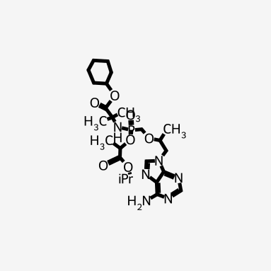 CC(C)OC(=O)C(C)OP(=O)(COC(C)Cn1cnc2c(N)ncnc21)NC(C)(C)C(=O)OC1CCCCC1